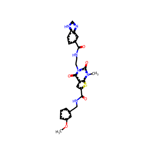 COc1cccc(CNC(=O)c2cc3c(=O)n(CCNC(=O)c4ccc5[nH]cnc5c4)c(=O)n(C)c3s2)c1